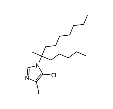 CCCCCCCC(C)(CCCCC)n1cnc(I)c1Cl